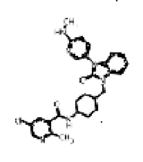 CNc1ccc(-n2c(=O)n(CC3CCC(NC(=O)c4cc(Cl)cnc4C)CC3)c3ccccc32)cn1